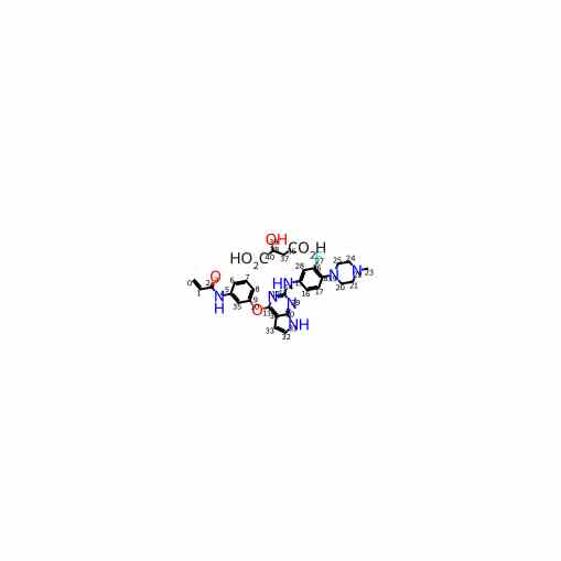 C=CC(=O)Nc1cccc(Oc2nc(Nc3ccc(N4CCN(C)CC4)c(F)c3)nc3[nH]ccc23)c1.O=C(O)CC(O)C(=O)O